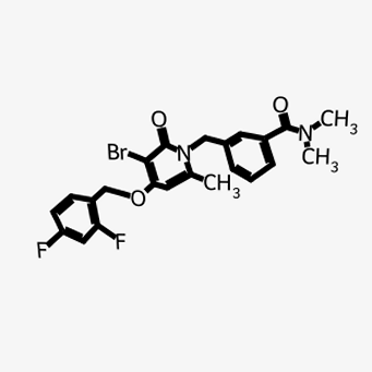 Cc1cc(OCc2ccc(F)cc2F)c(Br)c(=O)n1Cc1cccc(C(=O)N(C)C)c1